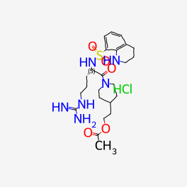 CC(=O)OCCC1CCN(C(=O)[C@H](CCCNC(=N)N)NS(=O)(=O)c2cccc3c2NCCC3)CC1.Cl